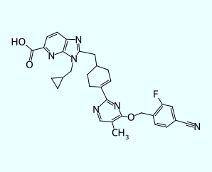 Cc1cnc(C2=CCC(Cc3nc4ccc(C(=O)O)nc4n3CC3CC3)CC2)nc1OCc1ccc(C#N)cc1F